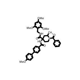 COc1ccc(-c2ccc(C(=O)NC3(C(=O)NCc4c(OC)cc(OC)cc4OC)CCN(C(=O)c4ccccc4)C(C)C3)cc2)cc1